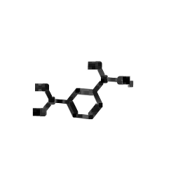 CB(O)c1cccc(B(O)O)c1